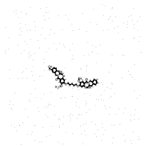 COc1ccc2c(c1)CN1C(=O)c3cc(OC)c(OCCCCCOc4cc5c(cc4OC)C(=O)N4Cc6ccccc6C[C@H]4C=N5)cc3N=C[C@@H]1C2